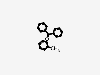 Cc1ccccc1.O=C(c1ccccc1)c1ccccc1